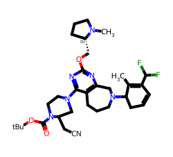 CC1=C(C(F)F)C=CCC1N1CCCc2c(nc(OC[C@@H]3CCCN3C)nc2N2CCN(C(=O)OC(C)(C)C)C(CC#N)C2)C1